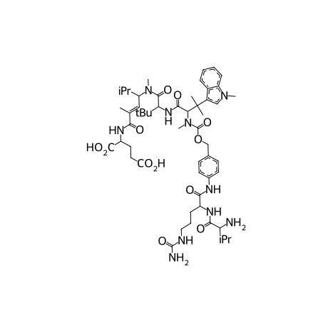 C/C(=C\C(C(C)C)N(C)C(=O)C(NC(=O)C(N(C)C(=O)OCc1ccc(NC(=O)C(CCCNC(N)=O)NC(=O)C(N)C(C)C)cc1)C(C)(C)c1cn(C)c2ccccc12)C(C)(C)C)C(=O)NC(CCC(=O)O)C(=O)O